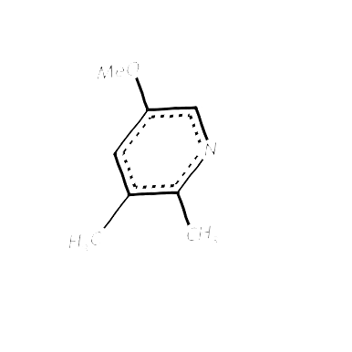 COc1[c]nc(C)c(C)c1